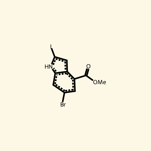 COC(=O)c1cc(Br)cc2[nH]c(I)cc12